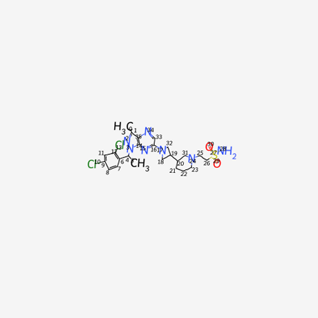 Cc1nn(C(C)c2ccc(Cl)cc2Cl)c2nc(N3CC(C4CCCN(CCS(N)(=O)=O)C4)C3)cnc12